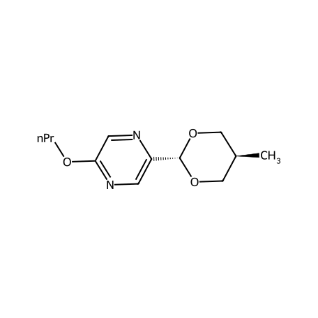 CCCOc1cnc([C@H]2OC[C@H](C)CO2)cn1